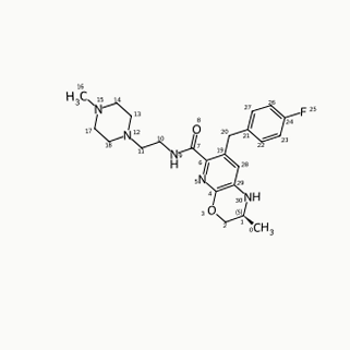 C[C@H]1COc2nc(C(=O)NCCN3CCN(C)CC3)c(Cc3ccc(F)cc3)cc2N1